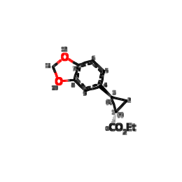 CCOC(=O)[C@H]1C[C@@H]1c1ccc2c(c1)OCO2